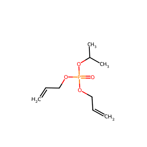 C=CCOP(=O)(OCC=C)OC(C)C